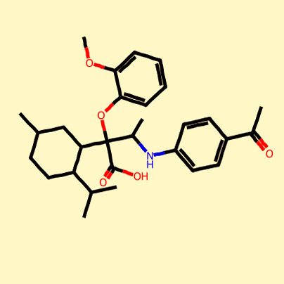 COc1ccccc1OC(C(=O)O)(C(C)Nc1ccc(C(C)=O)cc1)C1CC(C)CCC1C(C)C